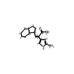 Nc1nc(/C(=C/C2CCC3CCCCC23)C(=O)O)cs1